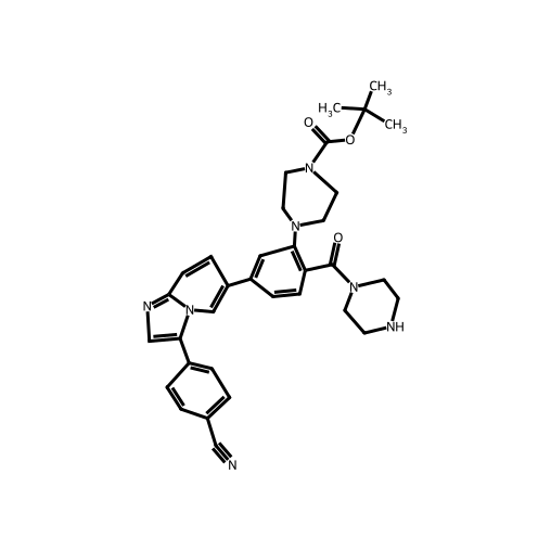 CC(C)(C)OC(=O)N1CCN(c2cc(-c3ccc4ncc(-c5ccc(C#N)cc5)n4c3)ccc2C(=O)N2CCNCC2)CC1